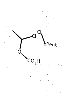 CC(Cl)OC(=O)O.CCCCCCl